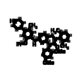 COc1ccc(N2C(=O)N(c3c(C)cccc3C)Cc3cnc(Nc4cc(C)c(N5CCNCC5)cc4OC(C)C)nc32)c(OC)c1